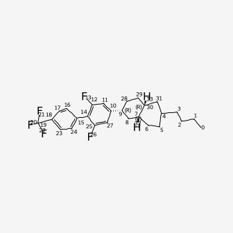 CCCCC1CC[C@@H]2C[C@H](c3cc(F)c(-c4ccc(C(F)(F)F)cc4)c(F)c3)CC[C@@H]2C1